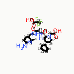 Cc1nc(N)ccc1CNC(=O)[C@H](C)NC(=O)[C@H]1C[C@@H](c2ccccc2)CCN1CC(=O)O.O=C(O)C(F)(F)F